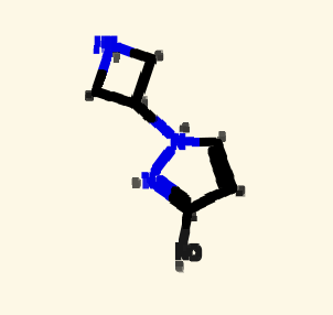 O=Nc1ccn(C2CNC2)n1